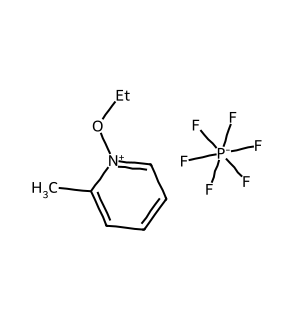 CCO[n+]1ccccc1C.F[P-](F)(F)(F)(F)F